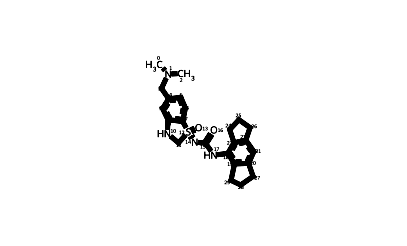 CN(C)Cc1ccc2c(c1)NCS2(=O)=NC(=O)Nc1c2c(cc3c1CCC3)CCC2